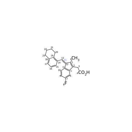 CC1=C(CC(=O)O)c2cc(F)ccc2/C1=C\c1cccc2c1CCCC2